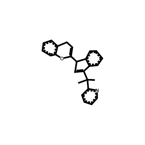 CC(C)(C1=CC(C2=CCc3ccccc3O2)c2ccccc21)c1ccccn1